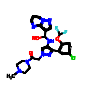 CN1CCN(C(=O)Cn2cc(NC(O)c3cnn4cccnc34)c(-c3cc(Cl)ccc3OC(F)F)n2)CC1